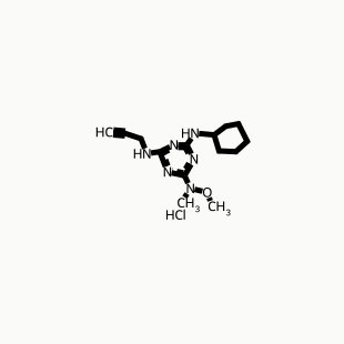 C#CCNc1nc(NC2CCCCC2)nc(N(C)OC)n1.Cl